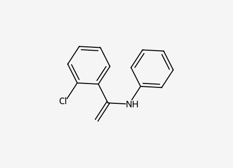 C=C(Nc1ccccc1)c1ccccc1Cl